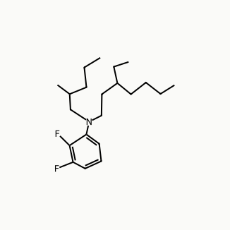 CCCCC(CC)CCN(CC(C)CCC)c1cccc(F)c1F